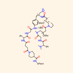 CCCCCNC(=O)C1CCN(C(=O)CCC(=O)NC(C(=O)NCC(=O)Nc2ccc(C[C@@H](CN)NC(=O)[C@H](C)[C@@H](OC)[C@@H]3CCCN3C(=O)C[C@@H](OC)C([C@@H](C)CC)N(C)C(=O)CNC(=O)C(C(C)C)N(C)C)cc2)C(C)C)CC1